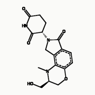 CN1c2c(ccc3c2CN([C@H]2CCC(=O)NC2=O)C3=O)OC[C@H]1CO